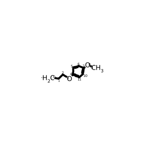 [CH2]CCOc1ccc(OC)cc1